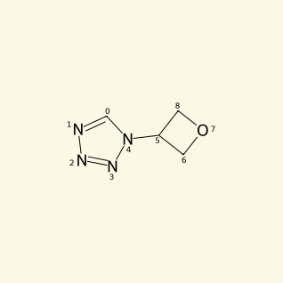 c1nnnn1C1COC1